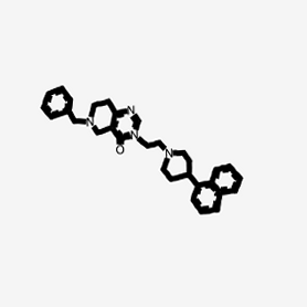 O=c1c2c(ncn1CCN1CCC(c3cccc4ccccc34)CC1)CCN(Cc1ccccc1)C2